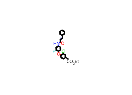 CCOC(=O)Cc1ccc(Oc2ccc(NC(=O)/C=C/c3ccccc3)cc2F)c(Cl)c1